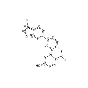 CC(C)C1C=CC(O)=CN1c1cccc(-c2ccc3c(ccn3C)c2)c1